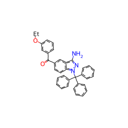 CCOc1cccc(C(=O)c2ccc3c(c2)c(N)nn3C(c2ccccc2)(c2ccccc2)c2ccccc2)c1